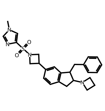 Cn1cnc(S(=O)(=O)N2CC(c3ccc4c(c3)C(Cc3ccccc3)C(N3CCC3)C4)C2)c1